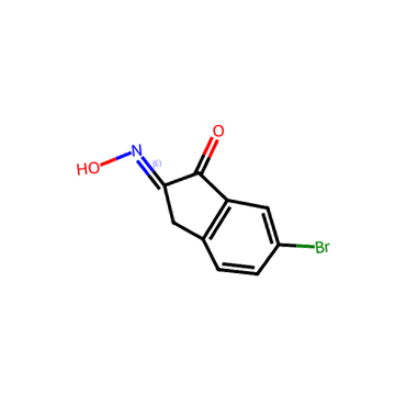 O=C1/C(=N/O)Cc2ccc(Br)cc21